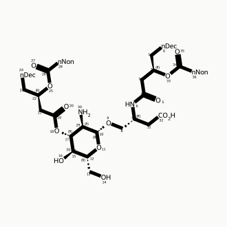 CCCCCCCCCCC[C@H](CC(=O)N[C@@H](CO[C@@H]1O[C@H](CO)[C@@H](O)[C@H](OC(=O)C[C@@H](CCCCCCCCCCC)OC(=O)CCCCCCCCC)[C@H]1N)CC(=O)O)OC(=O)CCCCCCCCC